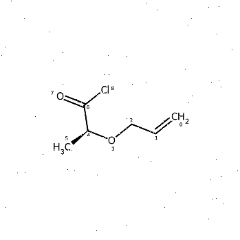 C=CCO[C@@H](C)C(=O)Cl